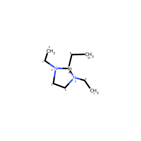 CC[N]1CC[N](CC)[In]1[CH2]C